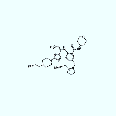 CC=C(Nc1ccc(CN2CCC[C@@H]2COC)cc1C(=O)NC1CCOCC1)c1csc(N2CCC(CCO)CC2)n1